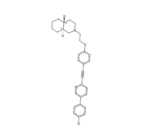 Clc1ccc(-c2ccc(C#Cc3ccc(OCCN4CC[C@H]5CCCC[C@@H]5C4)cc3)nc2)cc1